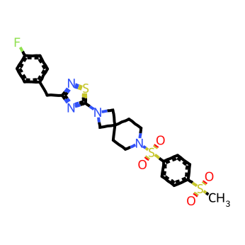 CS(=O)(=O)c1ccc(S(=O)(=O)N2CCC3(CC2)CN(c2nc(Cc4ccc(F)cc4)ns2)C3)cc1